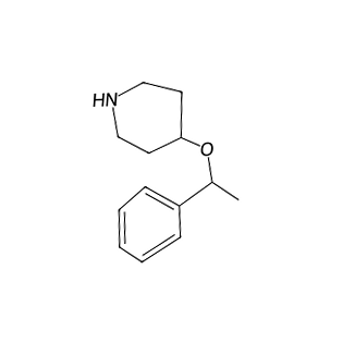 CC(OC1CCNCC1)c1ccccc1